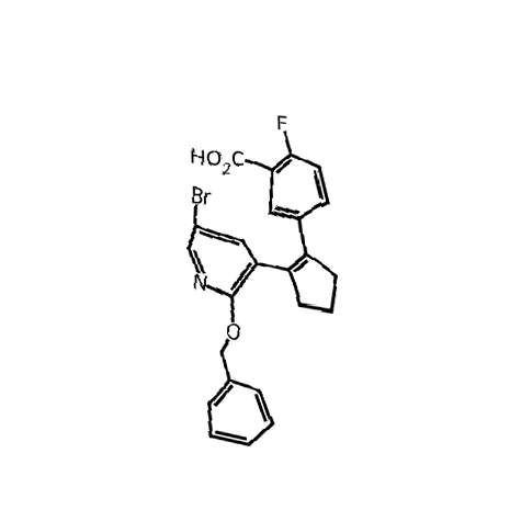 O=C(O)c1cc(C2=C(c3cc(Br)cnc3OCc3ccccc3)CCC2)ccc1F